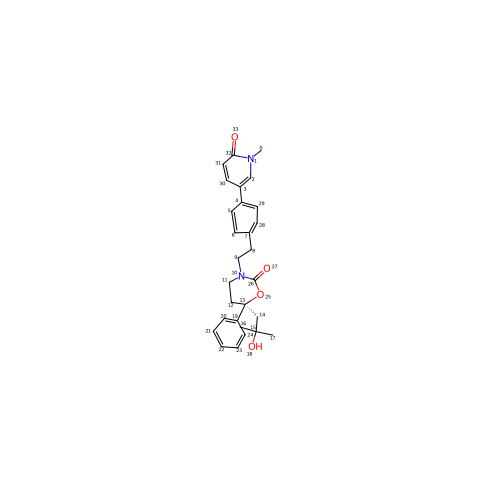 Cn1cc(-c2ccc(CCN3CC[C@](CC(C)(C)O)(c4ccccc4)OC3=O)cc2)ccc1=O